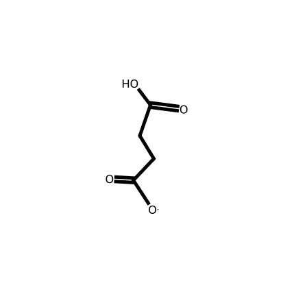 [O]C(=O)CCC(=O)O